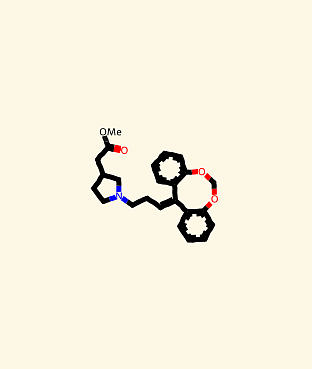 COC(=O)CC1CCN(CCC=C2c3ccccc3OCOc3ccccc32)C1